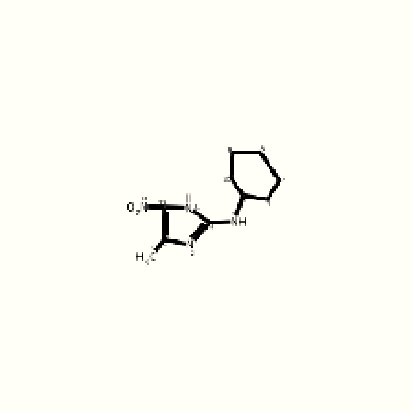 Cc1nc(NC2CCCCC2)[nH]c1[N+](=O)[O-]